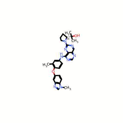 Cc1cc(Nc2ncnc3cnc(N4CCC[C@@H]4C(C)(C)O)nc23)ccc1Oc1ccc2c(c1)ncn2C